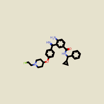 N=C(c1ccc(OC2CCN(CCF)CC2)cc1)c1cc(C(=O)NC(c2ccccc2)C2CC2)ccc1N